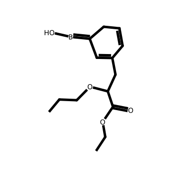 CCCOC(CC1=C/C(=B/O)CC=C1)C(=O)OCC